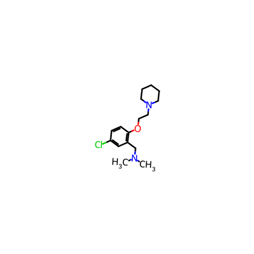 CN(C)Cc1cc(Cl)ccc1OCCN1CCCCC1